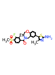 CCc1c(C(=O)N2CCOc3ccc(-c4sc(N)nc4C)cc3C2)ccc(S(C)(=O)=O)c1F